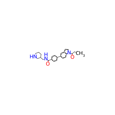 CCC(=O)n1ccc2cc(-c3ccc(C(=O)NCC4CCCNC4)cc3)ccc21